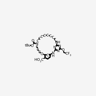 CC(C)(C)OC(=O)N1CCCCCCCCNc2nc(nc(OCC(F)(F)F)n2)Nc2ccc(C(=O)O)c(c2)OCCC1